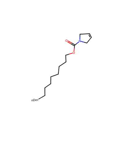 CCCCCCCCCCCCCCCCCCOC(=O)N1CC=CC1